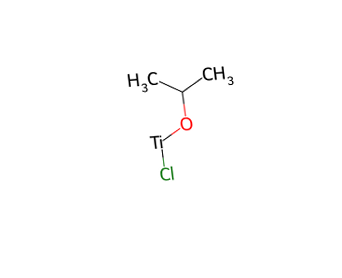 CC(C)[O][Ti][Cl]